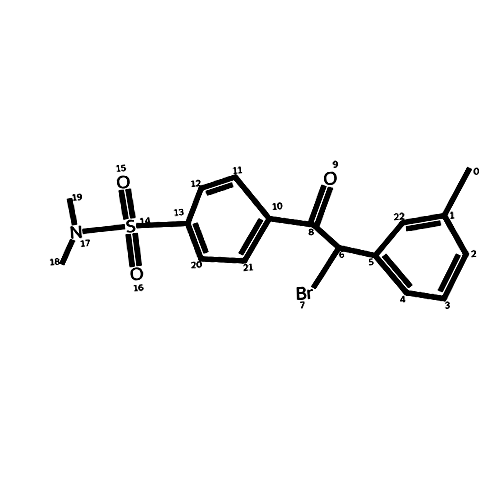 Cc1cccc(C(Br)C(=O)c2ccc(S(=O)(=O)N(C)C)cc2)c1